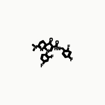 CN(C)c1ccc2c(=O)c(C(=O)NCc3ccc(F)cc3F)cn(-c3ccc(F)cc3F)c2n1